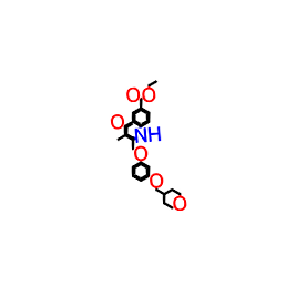 CCOC(=O)c1ccc2[nH]c(COc3cccc(OCC4CCOCC4)c3)c(C)c(=O)c2c1